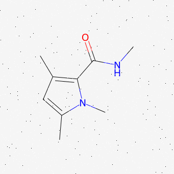 CNC(=O)c1c(C)cc(C)n1C